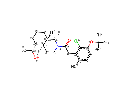 [2H]C([2H])([2H])Oc1ccc(C#N)c(CC(=O)N2CC[C@@H]3[C@H](CCC[C@H]3C(O)C(F)(F)F)[C@@H]2C)c1Cl